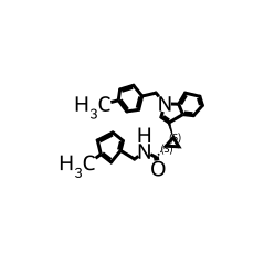 Cc1ccc(Cn2cc([C@H]3C[C@@H]3C(=O)NCc3cccc(C)c3)c3ccccc32)cc1